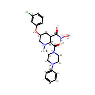 CN1CC(Oc2cccc(F)c2)CC(C(=O)NO)[C@H]1C(=O)N1CCN(c2ccccc2)CC1